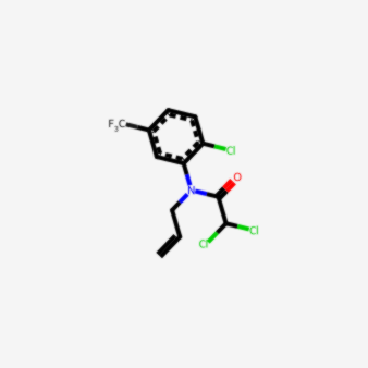 C=CCN(C(=O)C(Cl)Cl)c1cc(C(F)(F)F)ccc1Cl